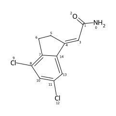 NC(=O)C=C1CCc2c(Cl)cc(Cl)cc21